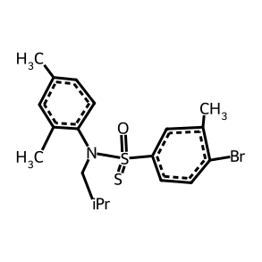 Cc1ccc(N(CC(C)C)S(=O)(=S)c2ccc(Br)c(C)c2)c(C)c1